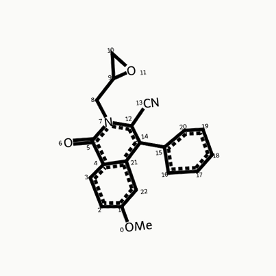 COc1ccc2c(=O)n(CC3CO3)c(C#N)c(-c3ccccc3)c2c1